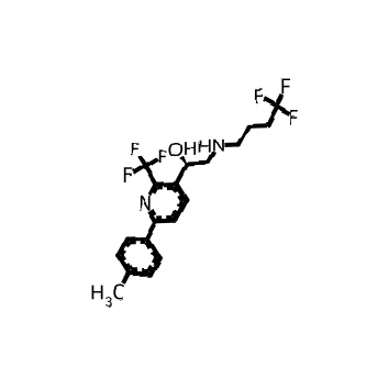 Cc1ccc(-c2ccc([C@@H](O)CNCCCC(F)(F)F)c(C(F)(F)F)n2)cc1